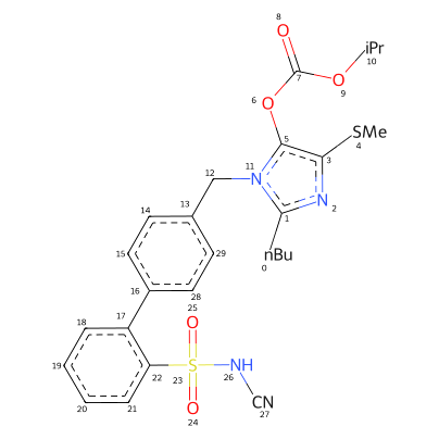 CCCCc1nc(SC)c(OC(=O)OC(C)C)n1Cc1ccc(-c2ccccc2S(=O)(=O)NC#N)cc1